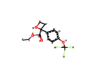 CCOC(=O)C1(c2ccc(OC(F)(F)F)cc2)CCO1